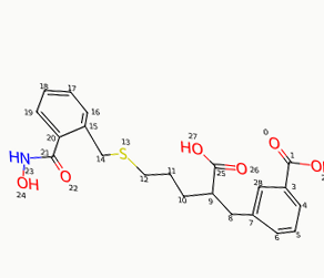 O=C(O)c1cccc(CC(CCCSCc2ccccc2C(=O)NO)C(=O)O)c1